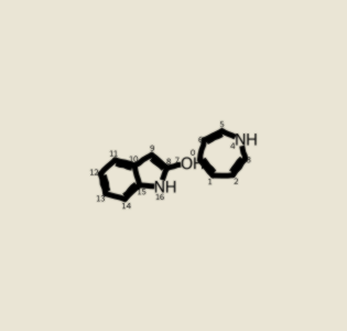 C1=CC=CNC=C1.Oc1cc2ccccc2[nH]1